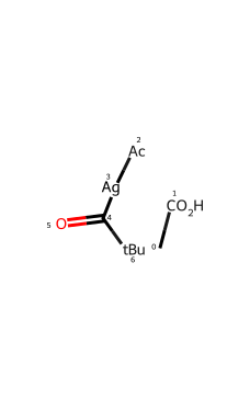 CC(=O)O.C[C](=O)[Ag][C](=O)C(C)(C)C